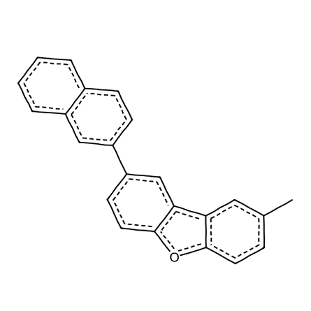 Cc1ccc2oc3ccc(-c4ccc5ccccc5c4)cc3c2c1